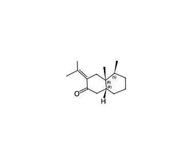 CC(C)=C1C[C@@]2(C)[C@H](CCC[C@@H]2C)CC1=O